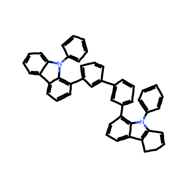 C1=Cc2c(c3cccc(-c4cccc(-c5cccc(-c6cccc7c8ccccc8n(-c8ccccc8)c67)c5)c4)c3n2-c2ccccc2)CC1